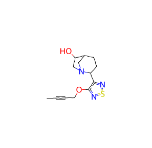 CC#CCOc1nsnc1C1CCC2CN1CC2O